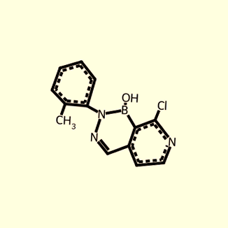 Cc1ccccc1N1N=Cc2ccnc(Cl)c2B1O